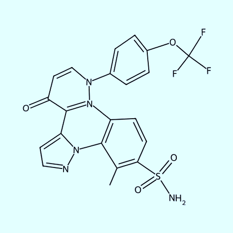 Cc1ccc(S(N)(=O)=O)c(C)c1-n1nccc1-c1nn(-c2ccc(OC(F)(F)F)cc2)ccc1=O